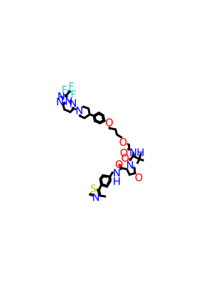 Cc1ncsc1-c1ccc(CNC(=O)C2CC(=O)CN2C(=O)C(NC(=O)COCCCCOc2ccc(C3CCN(C4=Nn5c(nnc5C(F)(F)F)CC4)CC3)cc2)C(C)(C)C)cc1